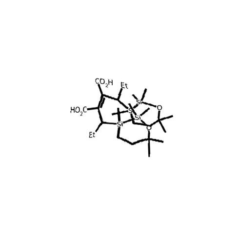 CCC(C(C(=O)O)=C(C(=O)O)C(CC)[Si]1(C)CCC(C)(C)O[Si]1(C)C)[Si]1(C)CCC(C)(C)O[Si]1(C)C